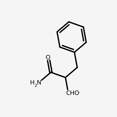 NC(=O)C([C]=O)Cc1ccccc1